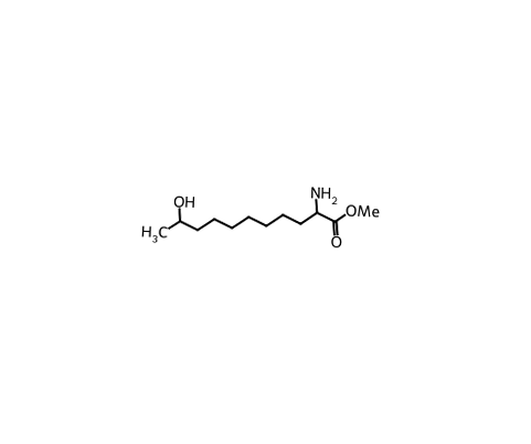 COC(=O)C(N)CCCCCCCC(C)O